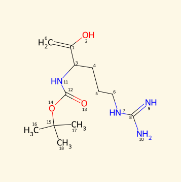 C=C(O)C(CCCNC(=N)N)NC(=O)OC(C)(C)C